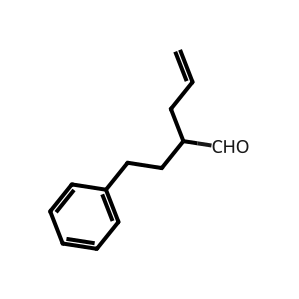 C=CCC(C=O)CCc1ccccc1